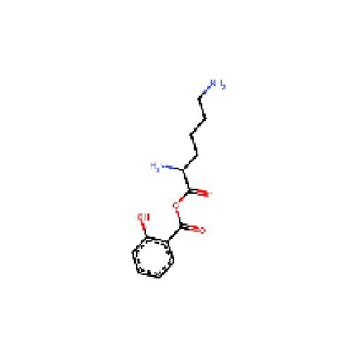 NCCCCC(N)C(=O)OC(=O)c1ccccc1O